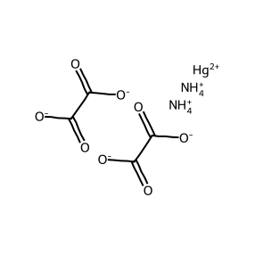 O=C([O-])C(=O)[O-].O=C([O-])C(=O)[O-].[Hg+2].[NH4+].[NH4+]